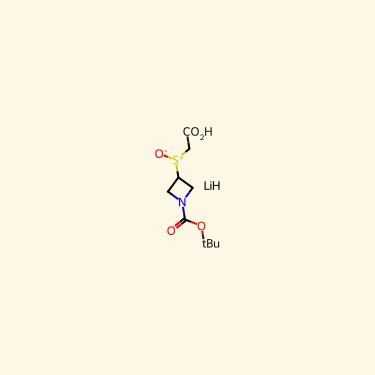 CC(C)(C)OC(=O)N1CC([S+]([O-])CC(=O)O)C1.[LiH]